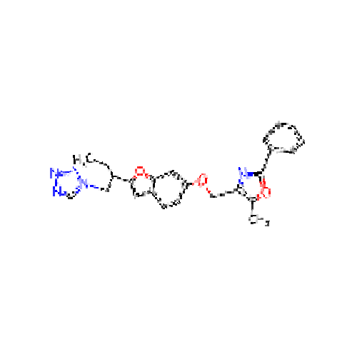 CCC(Cn1cnnn1)c1cc2ccc(OCc3nc(-c4ccccc4)oc3C)cc2o1